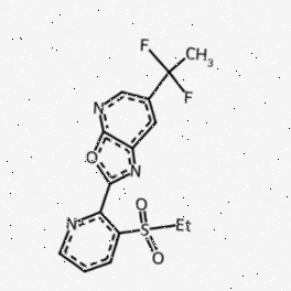 CCS(=O)(=O)c1cccnc1-c1nc2cc(C(C)(F)F)cnc2o1